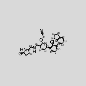 N#CCOc1nc(-c2cccc(-c3cccc4c3CCC4)c2Cl)ccc1CNCC1CCC(=O)N1